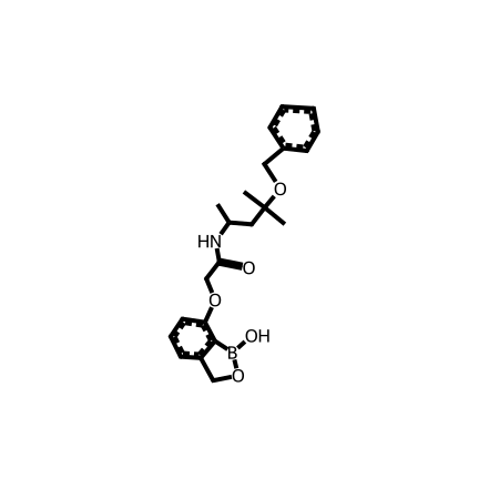 CC(CC(C)(C)OCc1ccccc1)NC(=O)COc1cccc2c1B(O)OC2